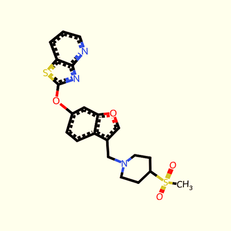 CS(=O)(=O)C1CCN(Cc2coc3cc(Oc4nc5ncccc5s4)ccc23)CC1